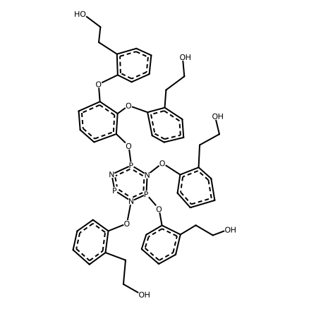 OCCc1ccccc1Oc1cccc(Op2npn(Oc3ccccc3CCO)p(Oc3ccccc3CCO)n2Oc2ccccc2CCO)c1Oc1ccccc1CCO